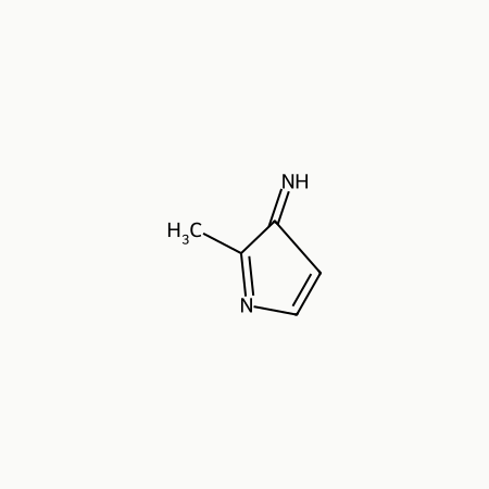 CC1=NC=CC1=N